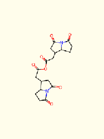 O=C(CC1CC(=O)N2C(=O)CCC12)OC(=O)CC1CC(=O)N2C(=O)CCC12